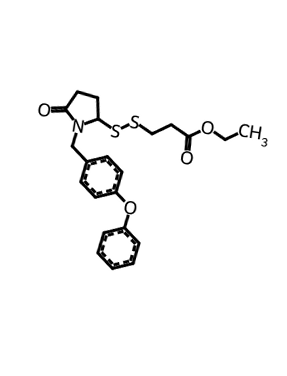 CCOC(=O)CCSSC1CCC(=O)N1Cc1ccc(Oc2ccccc2)cc1